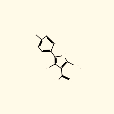 CC(C)(C)C(=O)c1c(N)sc(-c2ccc(Cl)cc2)c1C(F)(F)F